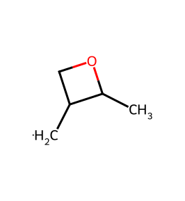 [CH2]C1COC1C